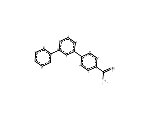 CC(=N)c1ccc(-c2cccc(-c3ccccc3)c2)cc1